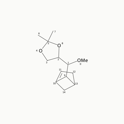 COC(C1COC(C)(C)O1)C1C2=CCC1C2